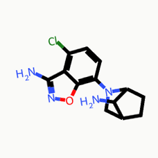 Nc1noc2c(N3CC4CCC3C4N)ccc(Cl)c12